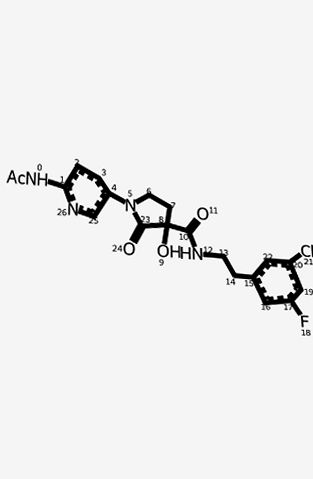 CC(=O)Nc1ccc(N2CCC(O)(C(=O)NCCc3cc(F)cc(Cl)c3)C2=O)cn1